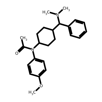 COc1ccc(N(C(C)=O)C2CCC(C(c3ccccc3)N(C)C)CC2)cc1